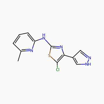 Cc1cccc(Nc2nc(-c3cn[nH]c3)c(Cl)s2)n1